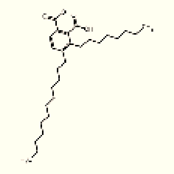 CCCCCCCCCCCCc1ccc(C(=O)O)c(C(=O)O)c1CCCCCCCC